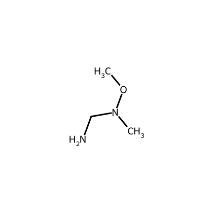 CON(C)CN